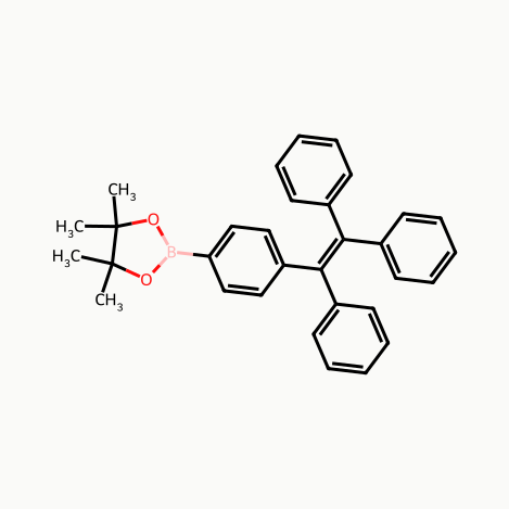 CC1(C)OB(c2ccc(C(=C(c3ccccc3)c3ccccc3)c3ccccc3)cc2)OC1(C)C